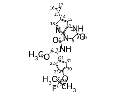 COCC(NC(=O)N1CC(=O)Nc2cc(C3CC3)cnc21)c1ccc(OC(C)(C)F)cc1